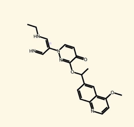 CCN/C=C(\C=N)n1ccc(=O)c(OC(C)c2ccc3nccc(OC)c3c2)n1